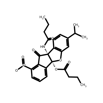 CCCC(=O)N[C@@]12C(=O)c3c([N+](=O)[O-])cccc3[C@]1(OC(=O)CCC)Oc1cc(C(C)C)ccc12